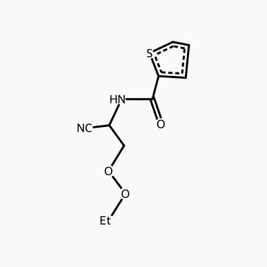 CCOOCC(C#N)NC(=O)c1cccs1